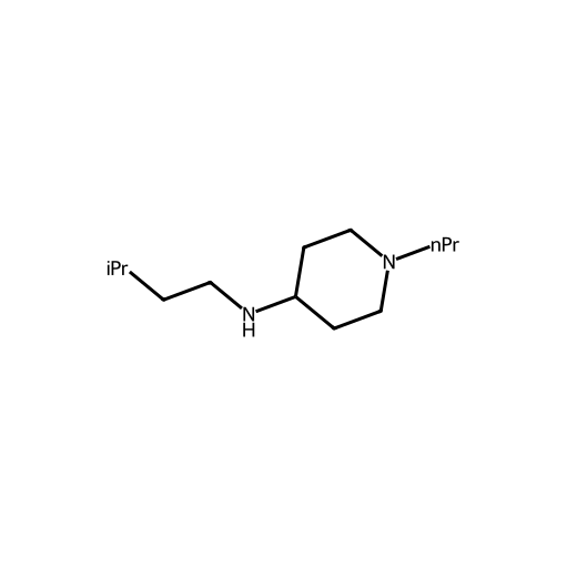 CCCN1CCC(NCCC(C)C)CC1